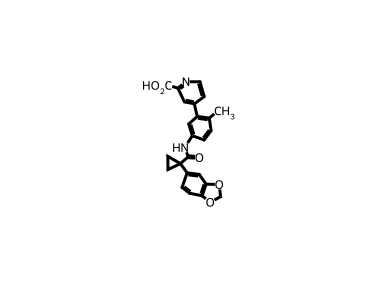 Cc1ccc(NC(=O)C2(c3ccc4c(c3)OCO4)CC2)cc1-c1ccnc(C(=O)O)c1